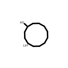 SC1CCCCCCCCCCC1.[LiH]